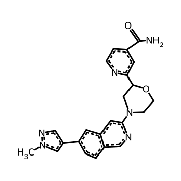 Cn1cc(-c2ccc3cnc(N4CCOC(c5cc(C(N)=O)ccn5)C4)cc3c2)cn1